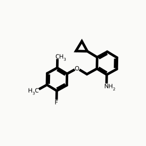 Cc1cc(C)c(OCc2c(N)cccc2C2CC2)cc1F